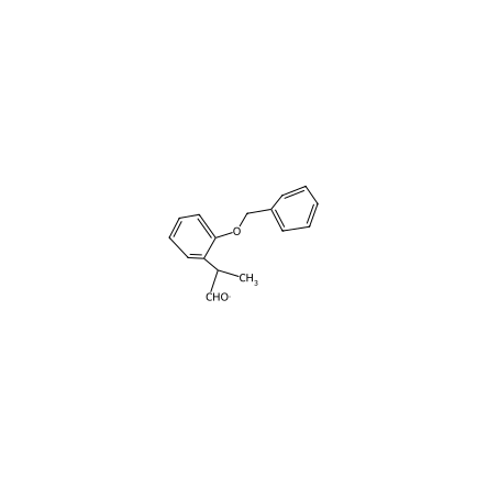 CC([C]=O)c1ccccc1OCc1ccccc1